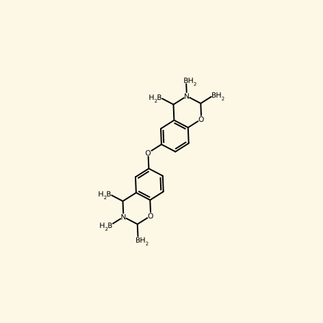 BC1Oc2ccc(Oc3ccc4c(c3)C(B)N(B)C(B)O4)cc2C(B)N1B